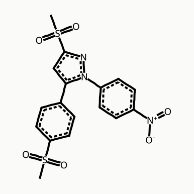 CS(=O)(=O)c1ccc(-c2cc(S(C)(=O)=O)nn2-c2ccc([N+](=O)[O-])cc2)cc1